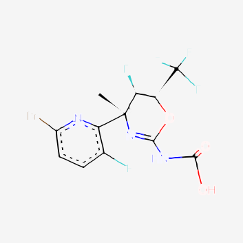 C[C@]1(c2nc(Br)ccc2F)N=C(NC(=O)O)O[C@H](C(F)(F)F)[C@@H]1F